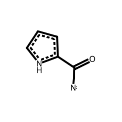 [N]C(=O)c1ccc[nH]1